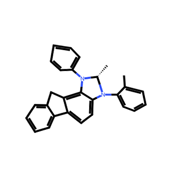 Cc1ccccc1N1c2ccc3c(c2N(c2ccccc2)[C@@H]1C)Cc1ccccc1-3